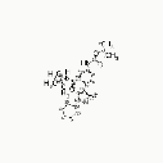 CC(C)OC(=O)Nc1ccc(-c2sc(C3CCCCC3)nc2F)c([S+]([O-])NC(C)(C)C)c1